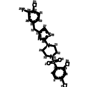 O=S(=O)(c1ccc(Cl)cc1Cl)N1CCN(c2nc(Cc3ccc(Cl)c(F)c3)cs2)CC1